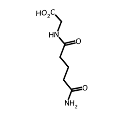 NC(=O)CCCC(=O)NCC(=O)O